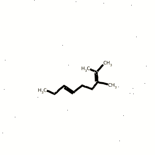 CC/C=C/CCC(C)=C(C)C